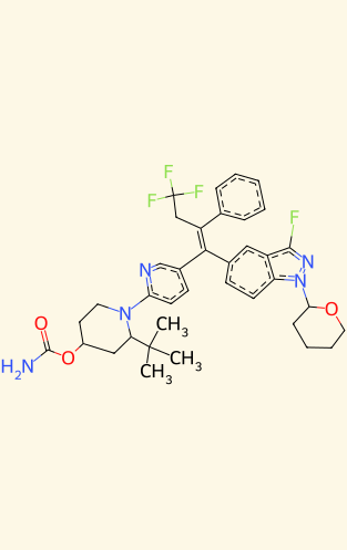 CC(C)(C)C1CC(OC(N)=O)CCN1c1ccc(C(=C(CC(F)(F)F)c2ccccc2)c2ccc3c(c2)c(F)nn3C2CCCCO2)cn1